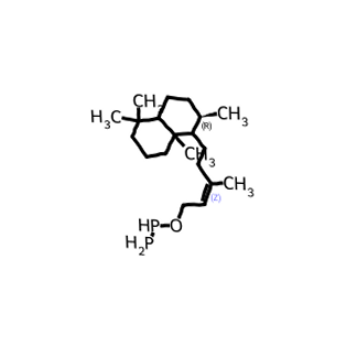 C/C(=C/COPP)CCC1[C@H](C)CCC2C(C)(C)CCCC12C